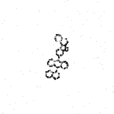 c1ccc2c(-c3c4ccccc4c(-c4ccc5c(c4)oc4ccc6ccccc6c45)c4ccccc34)cccc2c1